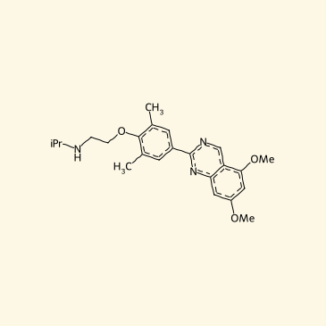 COc1cc(OC)c2cnc(-c3cc(C)c(OCCNC(C)C)c(C)c3)nc2c1